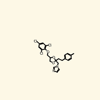 Cc1ccc(CCC2(Cn3ccnc3)OCC(COc3c(Cl)cc(Cl)cc3Cl)O2)cc1